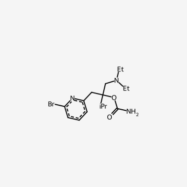 CCN(CC)CC(Cc1cccc(Br)n1)(OC(N)=O)C(C)C